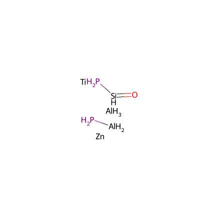 O=[SiH]P.[AlH2][PH2].[AlH3].[Ti].[Zn]